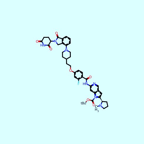 CN1CCC[C@@H]1c1cc2cnc(NC(=O)c3ccc(OCCC4CCN(c5cccc6c5CN(C5CCC(=O)NC5=O)C6=O)CC4)cc3F)cc2n1C(=O)OC(C)(C)C